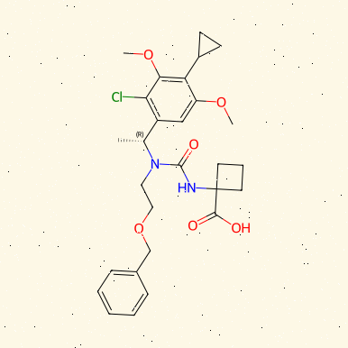 COc1cc([C@@H](C)N(CCOCc2ccccc2)C(=O)NC2(C(=O)O)CCC2)c(Cl)c(OC)c1C1CC1